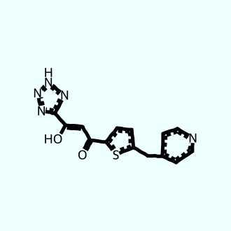 O=C(C=C(O)c1nn[nH]n1)c1ccc(Cc2ccncc2)s1